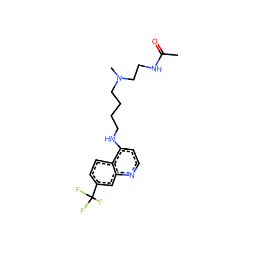 CC(=O)NCCN(C)CCCCNc1ccnc2cc(C(F)(F)F)ccc12